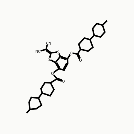 CC1CCC(C2CCC(C(=O)Oc3ccc(OC(=O)C4CCC(C5CCC(C)CC5)CC4)c4c3SC(=C(C#N)C#N)S4)CC2)CC1